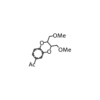 COCC1Oc2ccc(C(C)=O)cc2OC1COC